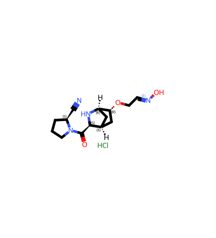 Cl.N#C[C@@H]1CCCN1C(=O)[C@H]1N[C@@H]2C[C@H]1C[C@H]2OC/C=N/O